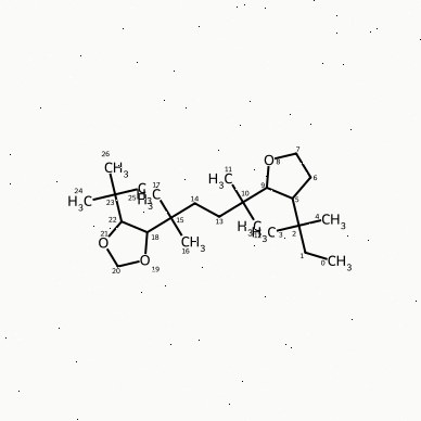 CCC(C)(C)C1CCOC1C(C)(C)CCC(C)(C)C1OCOC1C(C)(C)C